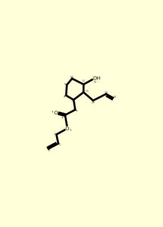 C=CCOC(=O)CC1CCCC(O)C1CC=C